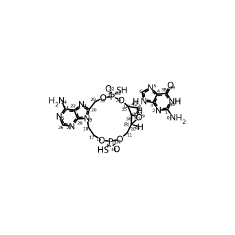 Nc1nc2c(ncn2[C@@H]2O[C@@H]3COP(=O)(S)OCCn4c(nc5c(N)ncnc54)COP(=O)(S)O[C@@H]2[C@H]3F)c(=O)[nH]1